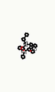 c1ccc(-c2cccc(-c3nc(-c4ccccc4)nc(-c4cccc5c4-c4cc(-c6nc(-c7ccccc7)nc(-c7ccccc7)n6)ccc4C54c5ccccc5Oc5ccccc54)n3)c2)cc1